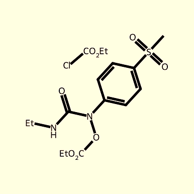 CCNC(=O)N(OC(=O)OCC)c1ccc(S(C)(=O)=O)cc1.CCOC(=O)Cl